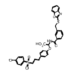 O=C(NC(Oc1ccc(CCCS(=O)(=O)c2ccc(Cl)cc2)cc1)C(=O)O)c1cccc(CSc2nc3ccccc3o2)c1